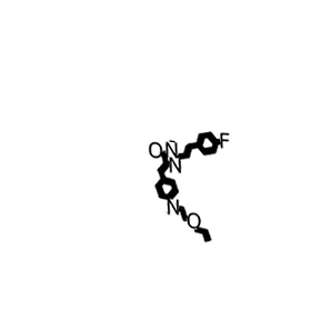 C=CCOCCN(C)c1ccc(/C=C2N=C(/C=C/c3ccc(F)cc3)N(C)C\2=O)cc1